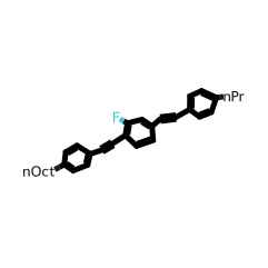 CCCCCCCCc1ccc(C#Cc2ccc(C#Cc3ccc(CCC)cc3)cc2F)cc1